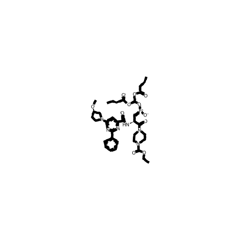 CCCC(=O)OC(OC(=O)CCC)O/[P+]([O-])=C/[C@@H](NC(=O)c1cc(N2CC[C@H](OC)C2)nc(-c2ccccc2)n1)C(=O)N1CCN(C(=O)OCC)CC1